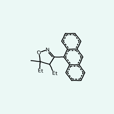 CCC1C(c2c3ccccc3cc3ccccc23)=NOC1(C)CC